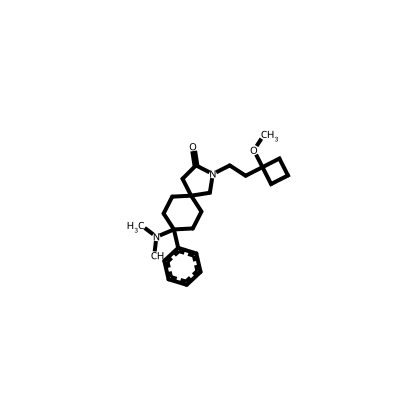 COC1(CCN2CC3(CCC(c4ccccc4)(N(C)C)CC3)CC2=O)CCC1